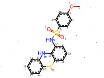 COc1ccc(S(=O)(=O)Nc2cccc3c2Nc2ccccc2S3)cc1